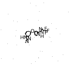 CN(C)c1nc2c([nH]1)C=CCC(Oc1ccnc(-c3ncc(C(F)(F)F)[nH]3)c1)=C2